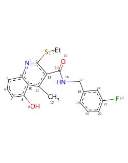 CCSc1nc2cccc(O)c2c(C)c1C(=O)NCc1cccc(F)c1